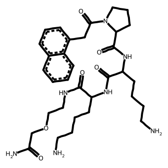 NCCCCC(NC(=O)C(CCCCN)NC(=O)C1CCCN1C(=O)Cc1cccc2ccccc12)C(=O)NCCOCC(N)=O